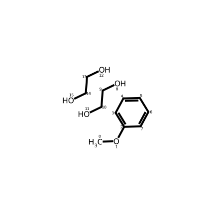 COc1ccccc1.OCCO.OCCO